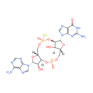 Nc1nc2c(ncn2[C@@H]2O[C@@H]3CO[PH](=O)O[C@H]4[C@@H](O)[C@H](n5cnc6c(N)ncnc65)O[C@@H]4COP(=O)(S)O[C@@H]2[C@@H]3O)c(=O)[nH]1